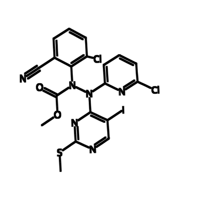 COC(=O)N(c1c(Cl)cccc1C#N)N(c1cccc(Cl)n1)c1nc(SC)ncc1I